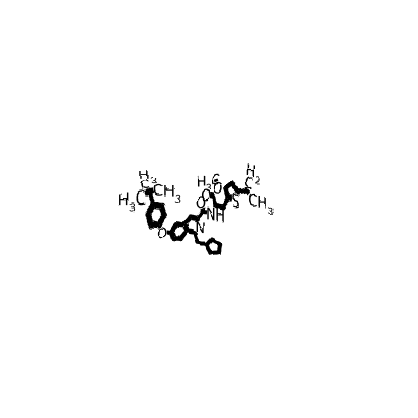 C=C(C)c1ccc(CC(NC(=O)c2cc3cc(Oc4ccc(C(C)(C)C)cc4)ccc3c(CC3CCCC3)n2)C(=O)OC)s1